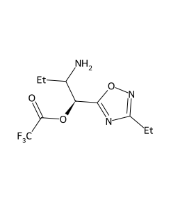 CCc1noc([C@@H](OC(=O)C(F)(F)F)C(N)CC)n1